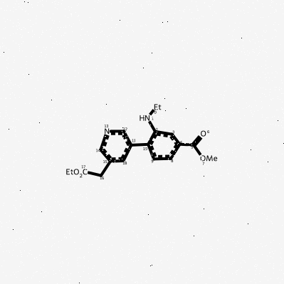 CCNc1cc(C(=O)OC)ccc1-c1cncc(CC(=O)OCC)c1